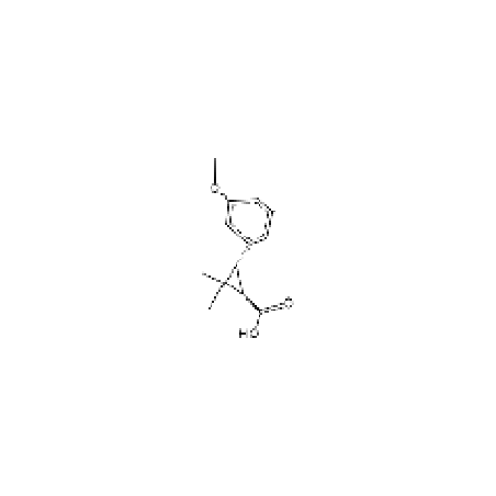 COc1cccc([C@@H]2[C@@H](C(=O)O)C2(C)C)c1